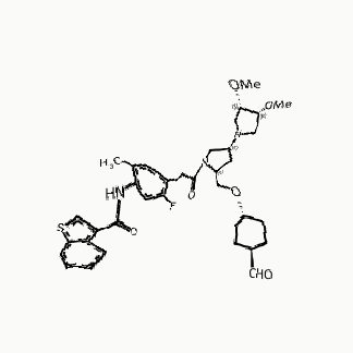 CO[C@H]1CN([C@H]2C[C@@H](CO[C@H]3CC[C@H](C=O)CC3)N(C(=O)Cc3cc(C)c(NC(=O)c4csc5ccccc45)cc3F)C2)C[C@H]1OC